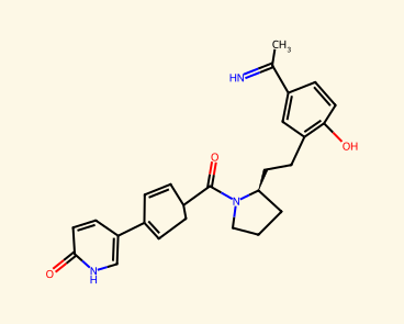 CC(=N)c1ccc(O)c(CC[C@H]2CCCN2C(=O)C2C=CC(c3ccc(=O)[nH]c3)=CC2)c1